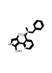 CCOC(=O)c1c[nH]c(C=O)c1-c1ncccc1CN(C)Cc1ccccc1